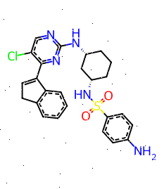 Nc1ccc(S(=O)(=O)N[C@H]2CCC[C@@H](Nc3ncc(Cl)c(C4=CCc5ccccc54)n3)C2)cc1